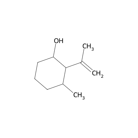 C=C(C)C1C(C)CCCC1O